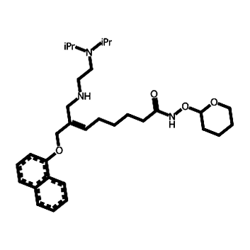 CC(C)N(CCNCC(=CCCCCC(=O)NOC1CCCCO1)COc1cccc2ccccc12)C(C)C